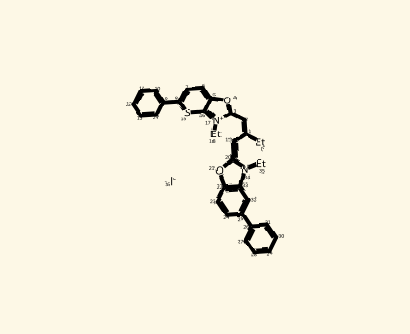 CCC(=CC1OC2=CC=C(c3ccccc3)SC2=[N+]1CC)C=C1Oc2ccc(-c3ccccc3)cc2N1CC.[I-]